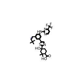 CC(C)(C)/C=C\c1cc(Nc2nccc(C(F)(F)F)n2)cc(-c2cnc(C3(O)CCC(C(=O)O)C(C)(C)C3)s2)c1